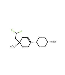 CCC[C@H]1CC[C@H](C2=CCC(CC(F)F)(C(=O)O)C=C2)CC1